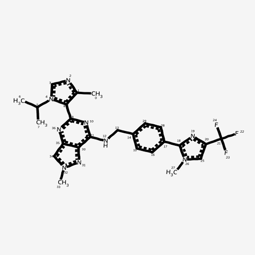 Cc1ncn(C(C)C)c1-c1nc(NCc2ccc(-c3nc(C(F)(F)F)cn3C)cc2)c2nn(C)cc2n1